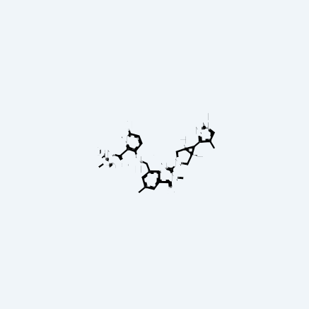 Cc1cc([C@@H](C)Nc2ccc(Cl)nc2C(=O)NS(C)(=O)=O)c2nc(N3C[C@@H]4C(c5n[nH]cc5C)[C@@H]4C3)n(C)c(=O)c2c1